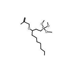 C=C(C)COC(CCCCCCC)CC[Si](OC)(OC)OC